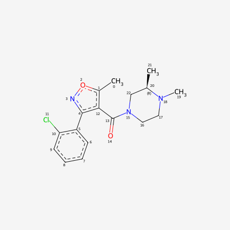 Cc1onc(-c2ccccc2Cl)c1C(=O)N1CCN(C)[C@H](C)C1